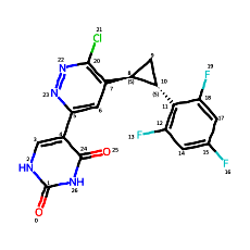 O=c1[nH]cc(-c2cc([C@H]3C[C@@H]3c3c(F)cc(F)cc3F)c(Cl)nn2)c(=O)[nH]1